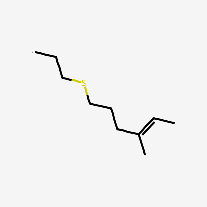 [CH2]CCSCCCC(C)=CC